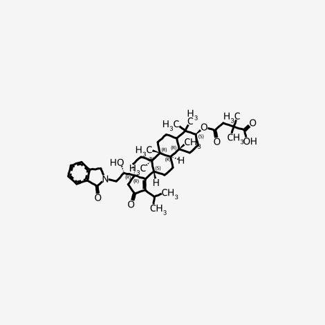 CC(C)C1=C2[C@H]3CC[C@@H]4[C@@]5(C)CC[C@H](OC(=O)CC(C)(C)C(=O)O)C(C)(C)C5CC[C@@]4(C)[C@]3(C)CC[C@@]2([C@@H](O)CN2Cc3ccccc3C2=O)CC1=O